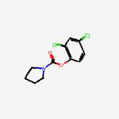 O=C(Oc1ccc(Cl)cc1Cl)N1CCCC1